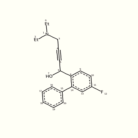 CCN(CC)CC#CC(O)c1ccc(F)cc1-c1ccccc1